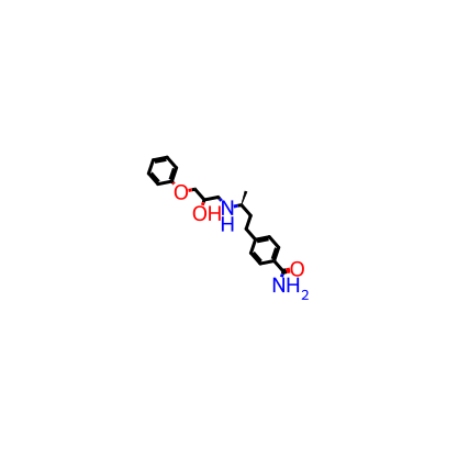 C[C@@H](CCc1ccc(C(N)=O)cc1)NCC(O)COc1ccccc1